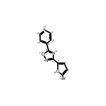 Brc1ccc(-c2noc(-c3ccncc3)n2)o1